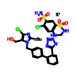 CCCCc1nc(Cl)c(CO)n1Cc1ccc(-c2ccccc2-c2nnn[n-]2)cc1.NS(=O)(=O)c1cc2c(cc1Cl)NCNS2(=O)=O.[K+]